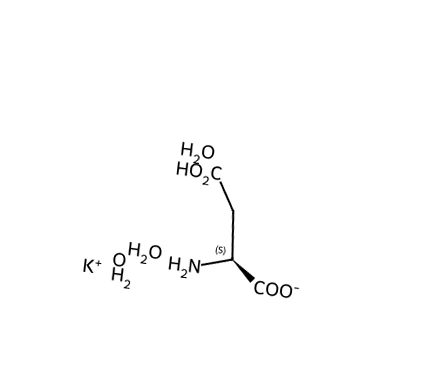 N[C@@H](CC(=O)O)C(=O)[O-].O.O.O.[K+]